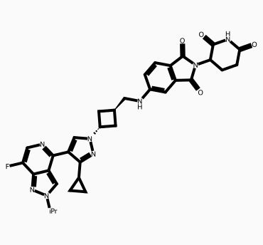 CC(C)n1cc2c(-c3cn([C@H]4C[C@H](CNc5ccc6c(c5)C(=O)N(C5CCC(=O)NC5=O)C6=O)C4)nc3C3CC3)ncc(F)c2n1